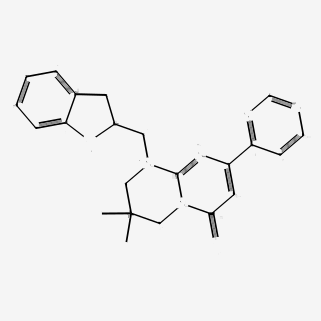 CC1(C)CN(CC2Cc3ccccc3O2)c2nc(-c3ccncn3)cc(=O)n2C1